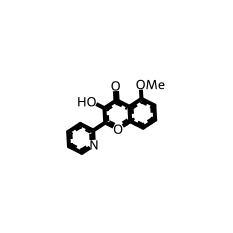 COc1cccc2oc(-c3ccccn3)c(O)c(=O)c12